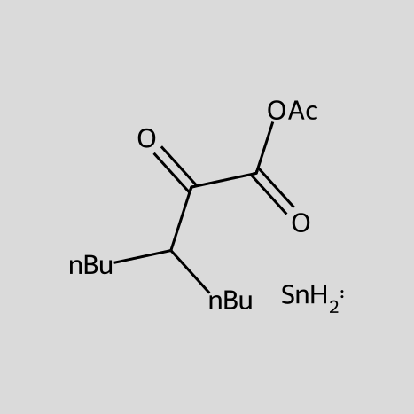 CCCCC(CCCC)C(=O)C(=O)OC(C)=O.[SnH2]